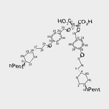 CCCCC[C@H]1CC[C@H](CCCOc2ccc(CO[C@@H](C(=O)O)[C@@H](OCc3ccc(OCCC[C@H]4CC[C@H](CCCCC)CC4)cc3)C(=O)O)cc2)CC1